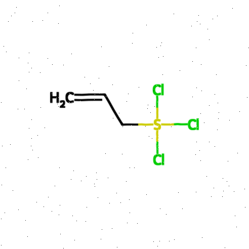 C=CCS(Cl)(Cl)Cl